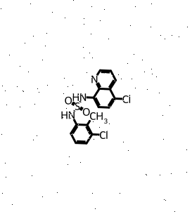 Cc1c(Cl)cccc1NS(=O)(=O)Nc1ccc(Cl)c2cccnc12